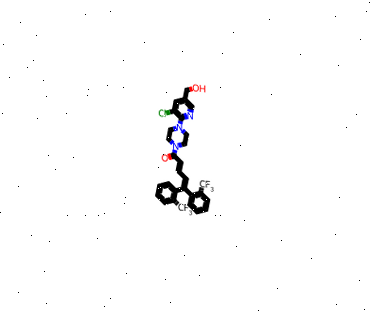 O=C(C=CC=C(c1ccccc1C(F)(F)F)c1ccccc1C(F)(F)F)N1CCN(c2ncc(CO)cc2Cl)CC1